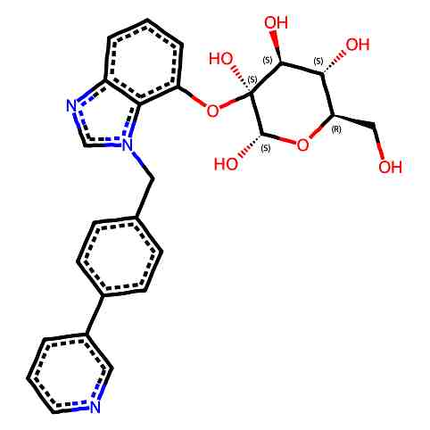 OC[C@H]1O[C@H](O)[C@@](O)(Oc2cccc3ncn(Cc4ccc(-c5cccnc5)cc4)c23)[C@@H](O)[C@@H]1O